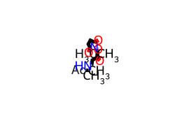 CC(=O)C(C)(C)NCCC(=O)C(C)(C)ON1C(=O)CCC1=O